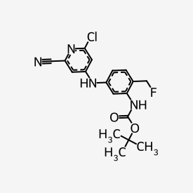 CC(C)(C)OC(=O)Nc1cc(Nc2cc(Cl)nc(C#N)c2)ccc1CF